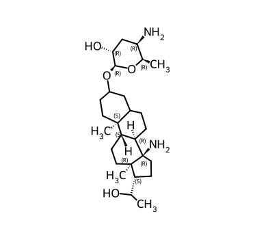 CC(O)[C@H]1CC[C@@]2(N)[C@@H]3CCC4CC(O[C@@H]5O[C@H](C)[C@H](N)C[C@H]5O)CC[C@]4(C)[C@H]3CC[C@]12C